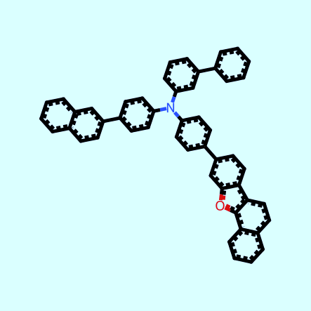 c1ccc(-c2cccc(N(c3ccc(-c4ccc5ccccc5c4)cc3)c3ccc(-c4ccc5c(c4)oc4c6ccccc6ccc54)cc3)c2)cc1